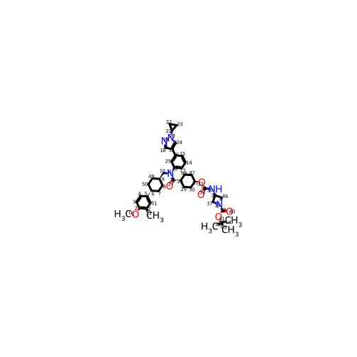 COc1ccc([C@H]2CC[C@H](CN(c3cccc(-c4cnn(C5CC5)c4)c3)C(=O)[C@H]3CC[C@H](OC(=O)NC4CN(C(=O)OC(C)(C)C)C4)CC3)CC2)cc1C